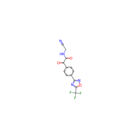 N#CCNC(=O)C(=O)c1ccc(-c2noc(C(F)(F)F)n2)cc1